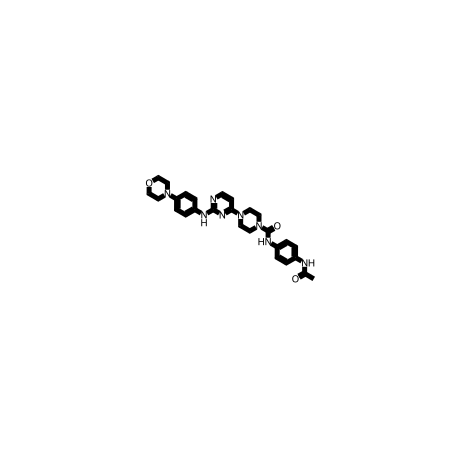 CC(=O)Nc1ccc(NC(=O)N2CCN(c3ccnc(Nc4ccc(N5CCOCC5)cc4)n3)CC2)cc1